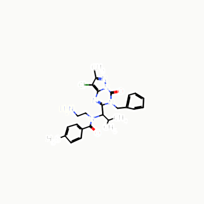 Cc1ccc(C(=O)N(CCN)C(c2nc3c(Cl)c(C)nn3c(=O)n2Cc2ccccc2)C(C)C)cc1